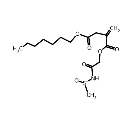 C=C(CC(=O)OCCCCCCC)C(=O)OCC(=O)N[S+](C)[O-]